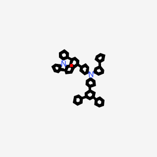 c1ccc(-c2cc(-c3ccccc3)cc(-c3ccc(N(c4ccc(-c5ccc(-c6ccccc6-n6c7ccccc7c7ccccc76)cc5)cc4)c4cccc(-c5ccccc5)c4)cc3)c2)cc1